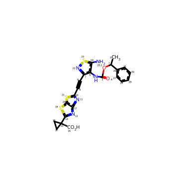 CC(OC(=O)Nc1c(C#Cc2nc3nc(C4(C(=O)O)CC4)sc3s2)nsc1N)c1ccccc1